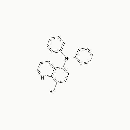 Brc1ccc(N(c2ccccc2)c2ccccc2)c2cccnc12